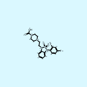 O=C(O)N1CCN(CCN2c3ccccc3N(c3ccc(F)cc3F)S2(=O)=O)CC1